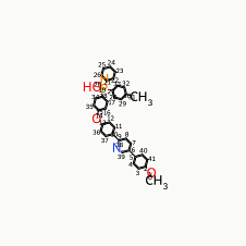 COc1ccc(-c2ccc(-c3ccc(Oc4ccc([PH](O)(c5ccccc5)c5ccc(C)cc5)cc4)cc3)nc2)cc1